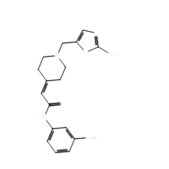 COc1cccc(NC(=O)C=C2CCN(Cc3cnc(NC(C)=O)s3)CC2)c1